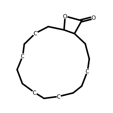 O=C1OC2CCCCCCCCCCCCCCC12